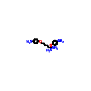 Nc1ccc(OCCCCCC(N)(N)Oc2ccc(N)cc2)cc1